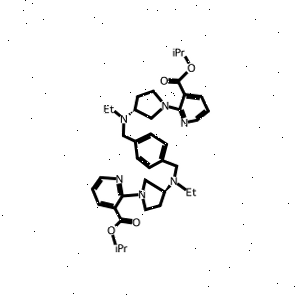 CCN(Cc1ccc(CN(CC)[C@H]2CCN(c3ncccc3C(=O)OC(C)C)C2)cc1)[C@@H]1CCN(c2ncccc2C(=O)OC(C)C)C1